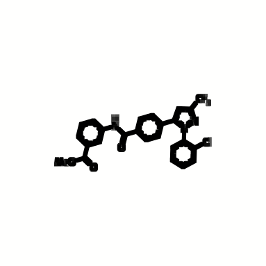 COC(=O)c1cccc(NC(=O)c2ccc(-c3cc(C(F)(F)F)nn3-c3ccccc3Cl)cc2)c1